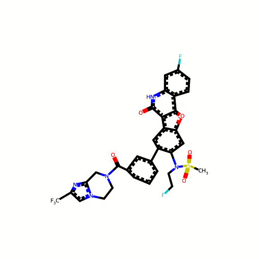 CS(=O)(=O)N(CCF)c1cc2oc3c4ccc(F)cc4[nH]c(=O)c3c2cc1-c1cccc(C(=O)N2CCn3cc(C(F)(F)F)nc3C2)c1